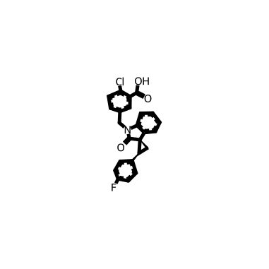 O=C(O)c1cc(CN2C(=O)[C@]3(C[C@H]3c3ccc(F)cc3)c3ccccc32)ccc1Cl